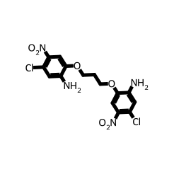 Nc1cc(Cl)c([N+](=O)[O-])cc1OCCCOc1cc([N+](=O)[O-])c(Cl)cc1N